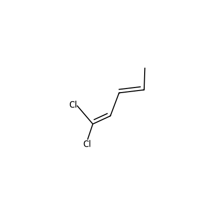 C/C=C/C=C(Cl)Cl